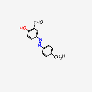 O=Cc1cc(N=Nc2ccc(C(=O)O)cc2)ccc1O